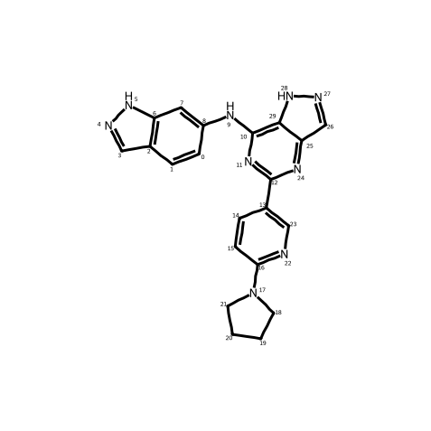 c1cc2cn[nH]c2cc1Nc1nc(-c2ccc(N3CCCC3)nc2)nc2cn[nH]c12